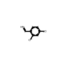 N=Cc1ccc(Cl)cc1Cl